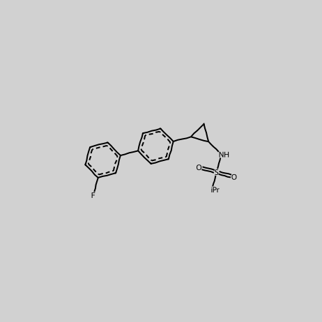 CC(C)S(=O)(=O)NC1CC1c1ccc(-c2cccc(F)c2)cc1